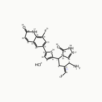 Cl.NC/C(=C/F)CC(c1ccc(-c2cc(F)c3[nH]c(=O)ccc3c2)s1)n1cn[nH]c1=O